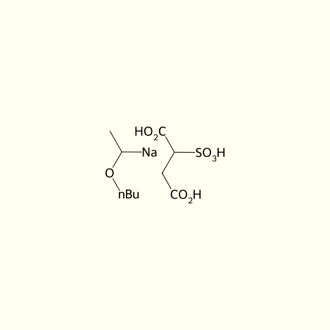 CCCCO[CH](C)[Na].O=C(O)CC(C(=O)O)S(=O)(=O)O